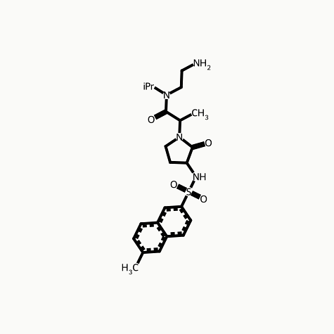 Cc1ccc2cc(S(=O)(=O)NC3CCN(C(C)C(=O)N(CCN)C(C)C)C3=O)ccc2c1